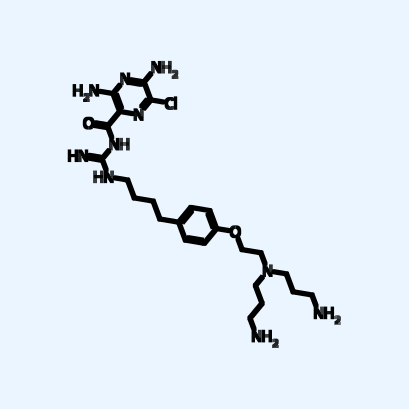 N=C(NCCCCc1ccc(OCCN(CCCN)CCCN)cc1)NC(=O)c1nc(Cl)c(N)nc1N